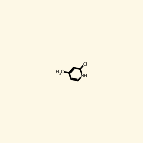 CC1=CC(Cl)NC=C1